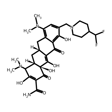 CN(C)c1cc(CN2CCC(C(F)F)CC2)c(O)c2c1C[C@H]1C[C@H]3C(N(C)C)C(O)=C(C(N)=O)C(=O)[C@@]3(O)C(O)=C1C2=O